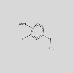 CNc1ccc(SC(F)(F)F)cc1F